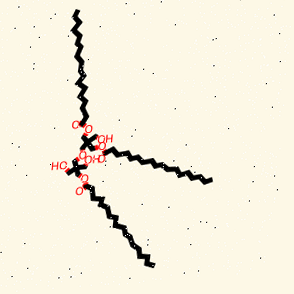 CCCCCCCCCCCCCCCCCC(=O)OCC(CO)(CO)COCC(CO)(COC(=O)CCCCCCCCCCCCCCCCC)COC(=O)CCCCCCCCCCCCCCCCC